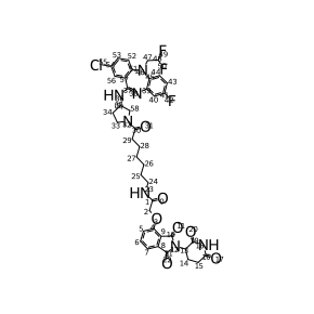 O=C(COc1cccc2c1C(=O)N(C1CCC(=O)NC1=O)C2=O)NCCCCCCC(=O)N1CC[C@H](NC2=Nc3cc(F)ccc3N(CC(F)F)c3ccc(Cl)cc32)C1